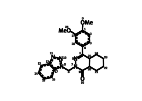 COc1ccc(C2=NN(Cn3nnc4ccccc43)C(=O)C3CCCCC23)cc1OC